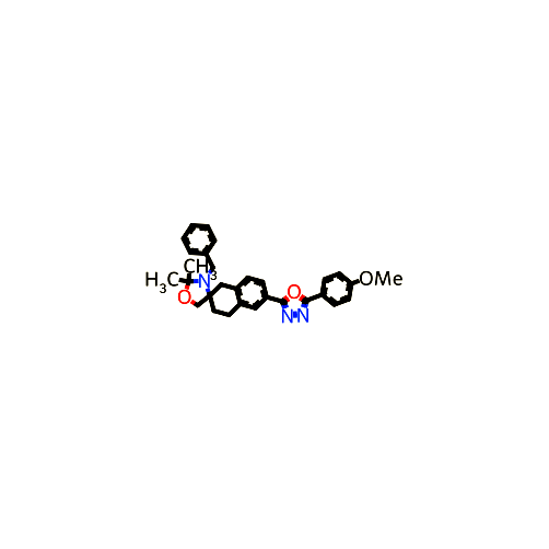 COc1ccc(-c2nnc(-c3ccc4c(c3)CCC3(COC(C)(C)N3Cc3ccccc3)C4)o2)cc1